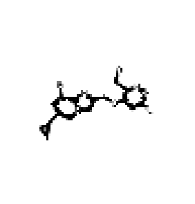 OCc1nnc(Cl)cc1OCc1cn2cc(C3CC3)cc(Br)c2n1